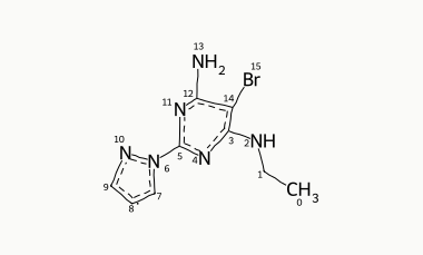 CCNc1nc(-n2c[c]cn2)nc(N)c1Br